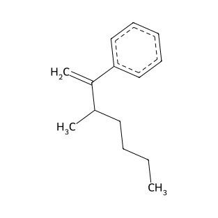 C=C(c1ccccc1)C(C)CCCC